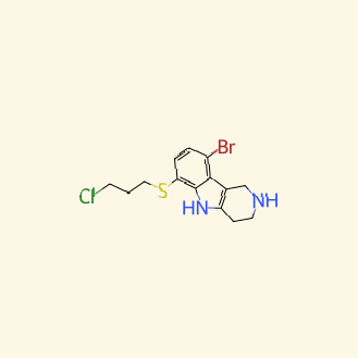 ClCCCSc1ccc(Br)c2c3c([nH]c12)CCNC3